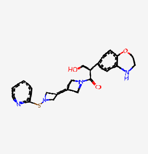 O=C(C(CO)c1ccc2c(c1)NCCO2)N1CC(=C2CN(Sc3ccccn3)C2)C1